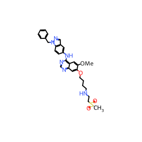 COc1cc2c(Nc3ccc4c(cnn4Cc4ccccc4)c3)ncnc2cc1OCCCCNCCS(C)(=O)=O